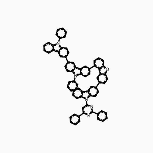 c1ccc(-c2cc(-n3c4ccccc4c4cc(-c5ccc6oc7cccc(-c8ccc9c(c8)c8cc(-c%10ccc%11c(c%10)c%10ccccc%10n%11-c%10ccccc%10)ccc8n9-c8ccccc8)c7c6c5)ccc43)nc(-c3ccccc3)n2)cc1